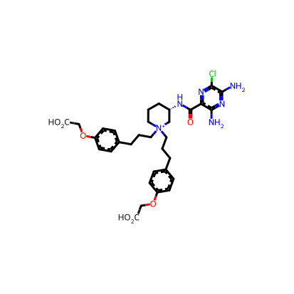 Nc1nc(N)c(C(=O)N[C@H]2CCC[N+](CCCc3ccc(OCC(=O)O)cc3)(CCCc3ccc(OCC(=O)O)cc3)C2)nc1Cl